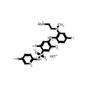 CNCCN(C)c1cc(F)ccc1Nc1cc(F)c(S(=O)(=O)Nc2ccc(F)cn2)cc1Cl.Cl